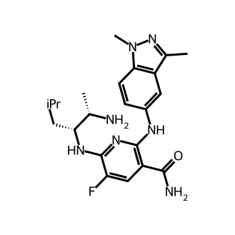 Cc1nn(C)c2ccc(Nc3nc(N[C@H](CC(C)C)[C@H](C)N)c(F)cc3C(N)=O)cc12